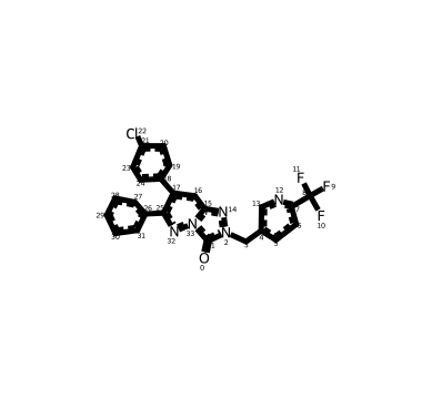 O=c1n(Cc2ccc(C(F)(F)F)nc2)nc2cc(-c3ccc(Cl)cc3)c(-c3ccccc3)nn12